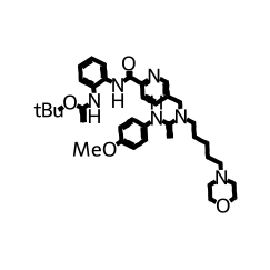 C=C(Nc1ccccc1NC(=O)c1ccc(CN(CCCCCN2CCOCC2)C(=C)Nc2ccc(OC)cc2)cn1)OC(C)(C)C